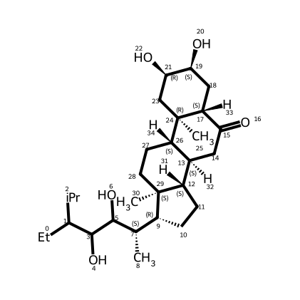 CCC(C(C)C)C(O)C(O)[C@@H](C)[C@H]1CC[C@H]2[C@@H]3CC(=O)[C@H]4C[C@H](O)[C@H](O)C[C@]4(C)[C@H]3CC[C@]12C